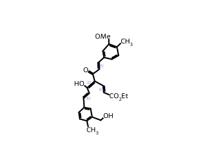 CCOC(=O)/C=C/C(C(=O)/C=C/c1ccc(C)c(OC)c1)=C(O)\C=C\c1ccc(C)c(CO)c1